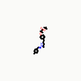 C=C(CCCc1ccc(OC(C)(C)C(=O)OC(C)(C)C)cc1)N/N=C/c1ccc(C)cc1